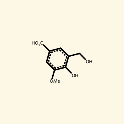 COc1cc(C(=O)O)cc(CO)c1O